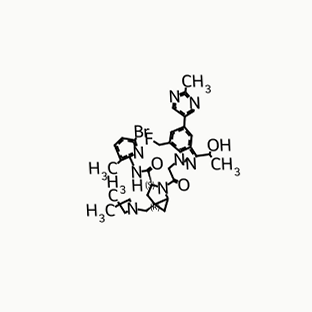 Cc1ncc(-c2cc(CF)c3c(c2)c(C(C)O)nn3CC(=O)N2C3C[C@]3(CN3CC(C)(C)C3)C[C@H]2C(=O)Nc2nc(Br)ccc2C)cn1